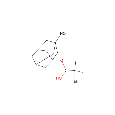 CCC(C)(C)C(O)OC12CC3CC(CC(N=O)(C3)C1)C2